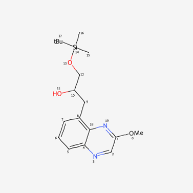 COc1cnc2cccc(CC(O)CO[Si](C)(C)C(C)(C)C)c2n1